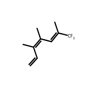 C=C/C(C)=C(C)\C=C(/C)C(F)(F)F